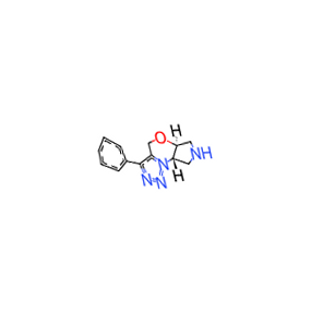 c1ccc(-c2nnn3c2CO[C@H]2CNC[C@@H]23)cc1